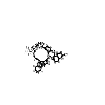 C[C@@H]1[C@@H](C)C/C=C/[C@@](O)(Cc2ccncn2)[C@@H]2CC[C@H]2CN2C[C@@]3(CCCc4cc(Cl)ccc43)COc3ccc(cc32)C(=O)NS1(=O)=O